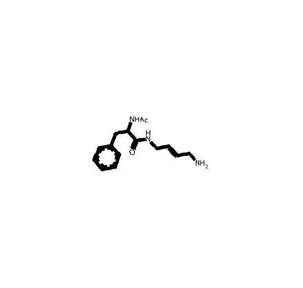 CC(=O)NC(Cc1ccccc1)C(=O)NCC=CCN